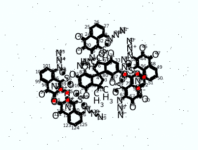 CC1(C)CC2(CC(C)(C)c3c(OS(=O)(=O)C4=C(N=[N+]=[N-])C(=O)C(=O)c5cccc(N=[N+]=[N-])c54)cc(OS(=O)(=O)C4=C(N=[N+]=[N-])C(=O)C(=O)c5cccc(N=[N+]=[N-])c54)c(OS(=O)(=O)C4=C(N=[N+]=[N-])C(=O)C(=O)c5cccc(N=[N+]=[N-])c54)c32)c2c(O)c(OS(=O)(=O)C3=C(N=[N+]=[N-])C(=O)C(=O)c4cccc(N=[N+]=[N-])c43)cc(OS(=O)(=O)C3=C(N=[N+]=[N-])C(=O)C(=O)c4cccc(N=[N+]=[N-])c43)c21